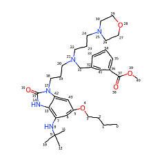 CCCCOc1cc(NC(C)(C)C)c2[nH]c(=O)n(CCCN(CCCN3CCOCC3)Cc3cccc(C(=O)OC)c3)c2c1